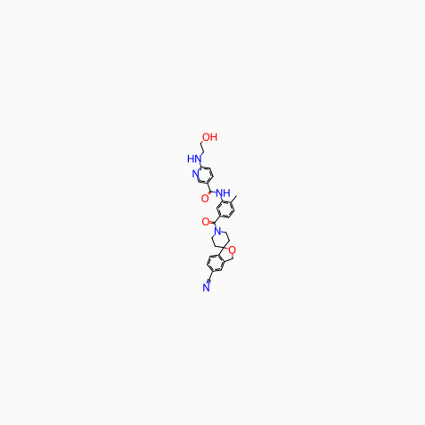 Cc1ccc(C(=O)N2CCC3(CC2)OCc2cc(C#N)ccc23)cc1NC(=O)c1ccc(NCCO)nc1